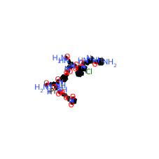 Cc1cccc2c(OC(=O)N(CCCNC(N)=O)CCN(C)C(=O)OCc3ccc(NC(=O)[C@H](CCCNC(N)=O)NC(=O)[C@@H](NC(=O)OCCOCCN4C(=O)C=CC4=O)C(C)C)cc3)cc3c(c12)[C@H](CCl)CN3C(=O)c1cc2cc(NC(=O)C3=CC=C(N)CC3)cnc2[nH]1